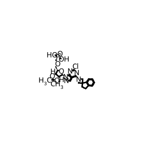 CC1(C)O[C@@H]2[C@H](O1)[C@@H](COCP(=O)(O)O)O[C@H]2n1ncc2c(N3CC4(CCc5ccccc54)C3)nc(Cl)nc21